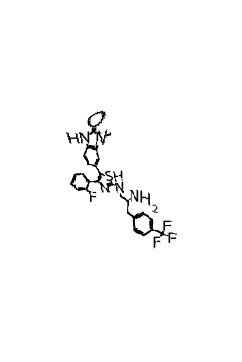 Cn1c(=O)[nH]c2ccc(-c3sc(NC[C@H](N)Cc4ccc(C(F)(F)F)cc4)nc3-c3ccccc3F)cc21